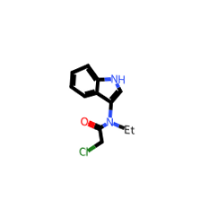 CCN(C(=O)CCl)c1c[nH]c2ccccc12